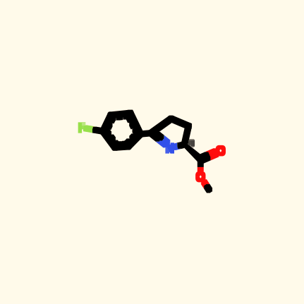 COC(=O)[C@@H]1CCC(c2ccc(F)cc2)=N1